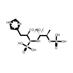 C[C@@H](OP(=O)(O)O)[C@H](NN([C@@H](Cc1c[nH]cn1)C(=O)O)P(=O)(O)O)C(=O)O